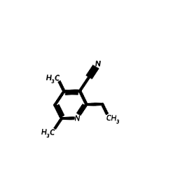 CCc1nc(C)cc(C)c1C#N